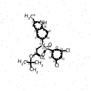 Cc1cc2cc(N(CC(=O)OC(C)(C)C)S(=O)(=O)c3cc(Cl)cc(Cl)c3)ccc2[nH]1